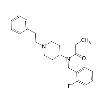 CCC(=O)N(Cc1ccccc1F)C1CCN(CCc2ccccc2)CC1